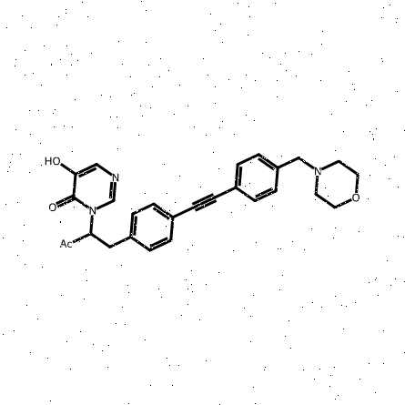 CC(=O)C(Cc1ccc(C#Cc2ccc(CN3CCOCC3)cc2)cc1)n1cncc(O)c1=O